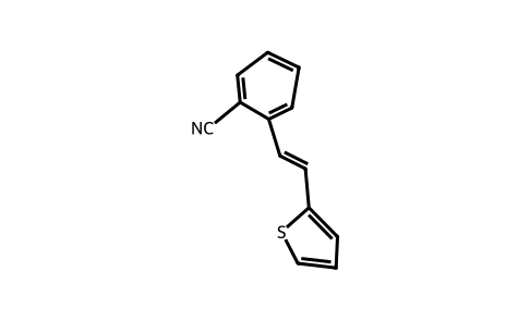 N#Cc1ccccc1C=Cc1cccs1